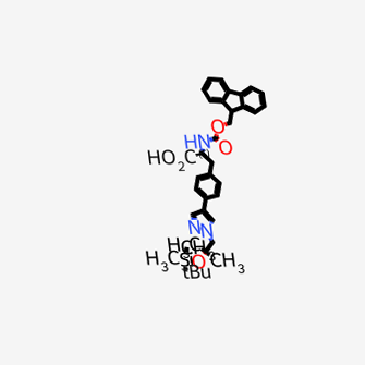 CC(C)(Cn1cc(-c2ccc(C[C@H](NC(=O)OCC3c4ccccc4-c4ccccc43)C(=O)O)cc2)cn1)O[Si](C)(C)C(C)(C)C